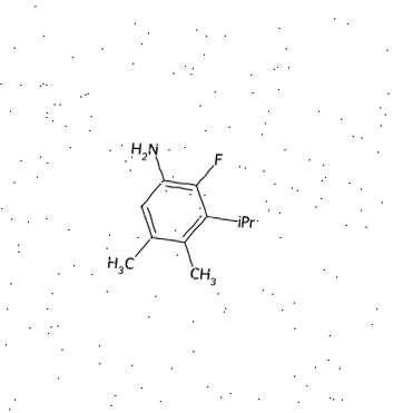 Cc1cc(N)c(F)c(C(C)C)c1C